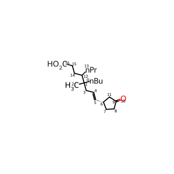 CCCCC(C)(C/C=C/[C@H]1CCC(=O)C1)C(CCC)CCC(=O)O